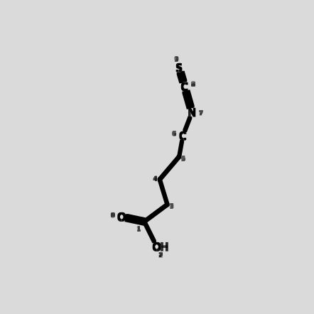 O=C(O)CCCCN=C=S